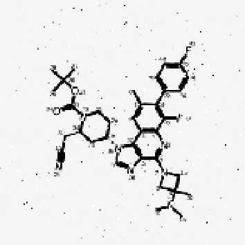 Cc1cc2c(nc(N3CC(C)(N(C)C)C3)c3ncn([C@H]4CCN(C(=O)OC(C)(C)C)[C@H](CC#N)C4)c32)c(F)c1-c1ccc(F)cc1